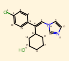 Cl.Clc1ccc(C(=Cn2ccnc2)C2CCCCC2)cc1